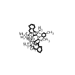 Cc1cc(C)c(N(c2nc3c4ccccc4cc(C(C)(C)C)n3c2C)c2nc3c4ccccc4cc(C(C)(C)C)n3c2C)c(C)c1